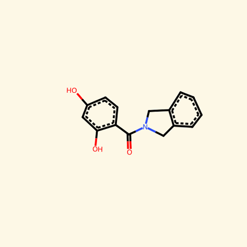 O=C(c1ccc(O)cc1O)N1Cc2ccccc2C1